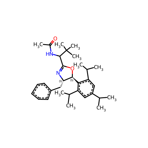 CC(=O)NC(C1=N[C@@H](Cc2ccccc2)[C@H](c2c(C(C)C)cc(C(C)C)cc2C(C)C)O1)C(C)(C)C